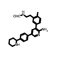 Cc1ccc(-c2cc(-c3ccc(C4CCCCN4)cc3)cnc2N)cc1CCNC=O